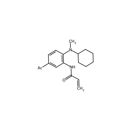 C=CC(=O)Nc1cc(C(C)=O)ccc1N(C)C1CCCCC1